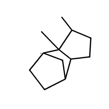 CC1CCC2C3CC[C](C3)C12C